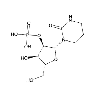 O=C1NCCCN1[C@@H]1O[C@H](CO)[C@@H](O)[C@H]1OP(=O)(O)O